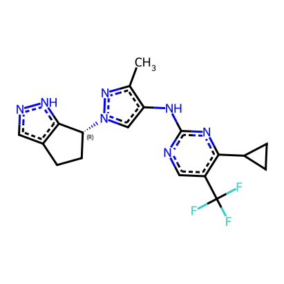 Cc1nn([C@@H]2CCc3cn[nH]c32)cc1Nc1ncc(C(F)(F)F)c(C2CC2)n1